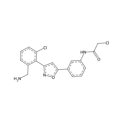 NCc1cccc(Cl)c1-c1cc(-c2cccc(NC(=O)CCl)c2)on1